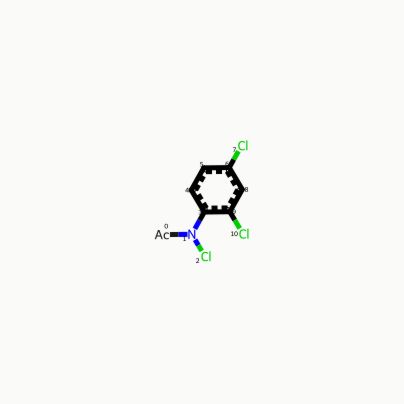 CC(=O)N(Cl)c1ccc(Cl)cc1Cl